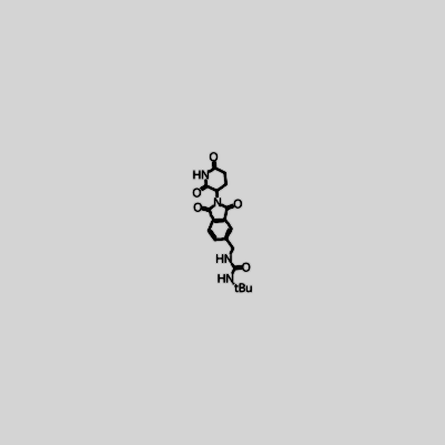 CC(C)(C)NC(=O)NCc1ccc2c(c1)C(=O)N(C1CCC(=O)NC1=O)C2=O